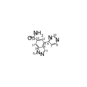 Cn1ncc2c(-c3ccncn3)cc(C(N)=O)cc21